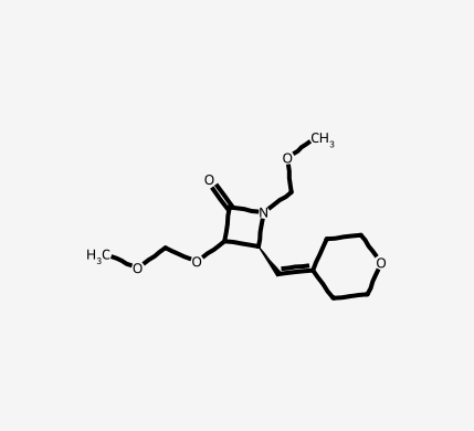 COCOC1C(=O)N(COC)[C@H]1C=C1CCOCC1